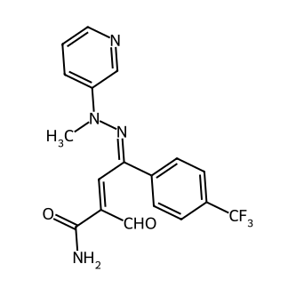 CN(/N=C(\C=C(/C=O)C(N)=O)c1ccc(C(F)(F)F)cc1)c1cccnc1